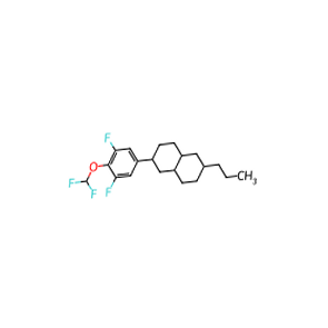 CCCC1CCC2CC(c3cc(F)c(OC(F)F)c(F)c3)CCC2C1